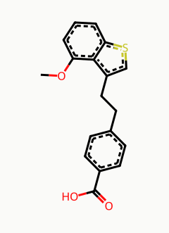 COc1cccc2scc(CCc3ccc(C(=O)O)cc3)c12